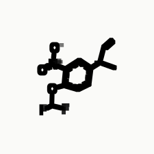 C=C[C](C)c1ccc(OC(F)F)c([N+](=O)[O-])c1